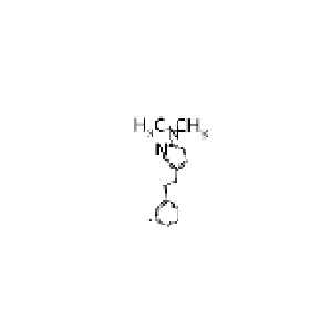 CN(C)c1ccc(CCc2c[c]ccc2)cn1